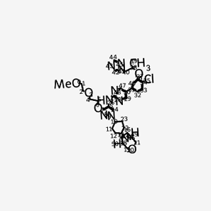 COCCOCCOc1nn([C@H]2CC[C@H](N3[C@@H]4CC[C@H]3COC4)CC2)cc1Nc1ncc(-c2ccc(Cl)c(O[C@@H](C)Cn3cncn3)c2)cn1